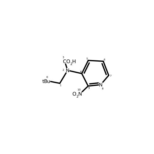 CC(C)(C)CN(C(=O)O)c1cccnc1[N+](=O)[O-]